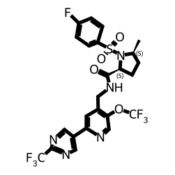 C[C@H]1CC[C@@H](C(=O)NCc2cc(-c3cnc(C(F)(F)F)nc3)ncc2OC(F)(F)F)N1S(=O)(=O)c1ccc(F)cc1